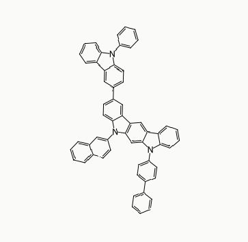 c1ccc(-c2ccc(-n3c4ccccc4c4cc5c6cc(-c7ccc8c(c7)c7ccccc7n8-c7ccccc7)ccc6n(-c6ccc7ccccc7c6)c5cc43)cc2)cc1